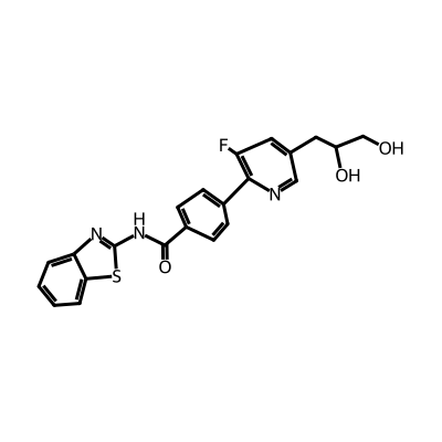 O=C(Nc1nc2ccccc2s1)c1ccc(-c2ncc(CC(O)CO)cc2F)cc1